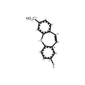 O=C(O)c1ccc2c(c1)Sc1ccc(F)cc1C=C2